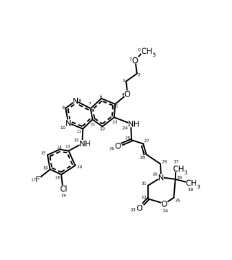 COCCOc1cc2ncnc(Nc3ccc(F)c(Cl)c3)c2cc1NC(=O)C=CCN1CC(=O)OCC1(C)C